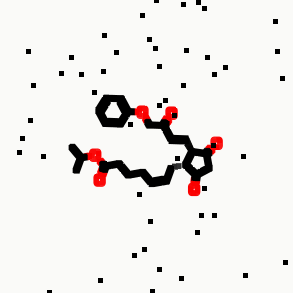 CC(C)OC(=O)CCC/C=C\C[C@H]1C(=O)CC(=O)[C@@H]1/C=C/C(=O)COc1ccccc1